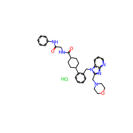 Cl.O=C(CNC(=O)C1CCC(c2ccccc2Cn2c(CN3CCOCC3)nc3ncccc32)CC1)Nc1ccccc1